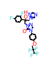 O=c1n(-c2ccc(OCC(F)(F)C(F)F)cc2)cnn1C[C@@](O)(Cn1cncn1)c1ccc(F)cc1F